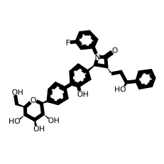 O=C1[C@H](CC[C@H](O)c2ccccc2)[C@@H](c2ccc(-c3ccc([C@@H]4O[C@H](CO)[C@@H](O)[C@H](O)[C@H]4O)cc3)c(O)c2)N1c1cccc(F)c1